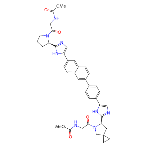 COC(=O)NCC(=O)N1CCC[C@@H]1c1ncc(-c2ccc3cc(-c4ccc(-c5cnc([C@H]6CC7(CC7)CN6C(=O)CNC(=O)OC)[nH]5)cc4)ccc3c2)[nH]1